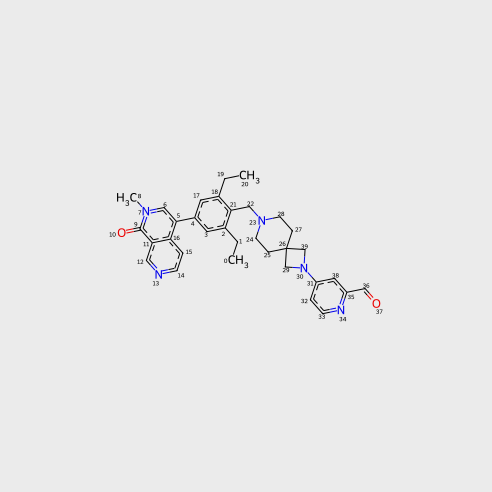 CCc1cc(-c2cn(C)c(=O)c3cnccc23)cc(CC)c1CN1CCC2(CC1)CN(c1ccnc(C=O)c1)C2